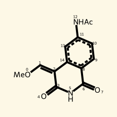 COC=C1C(=O)NC(=O)c2ccc(NC(C)=O)cc21